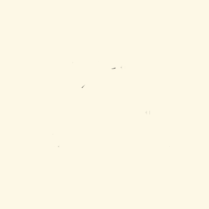 CCCC(O)c1cccc(OC[C@@H]2[C@@H](C/C=C\CCCC(=O)O)[C@H](Cl)C[C@H]2O)c1